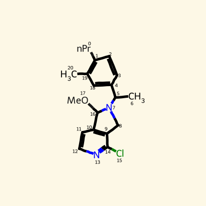 CCCc1ccc(C(C)N2Cc3c(ccnc3Cl)C2OC)cc1C